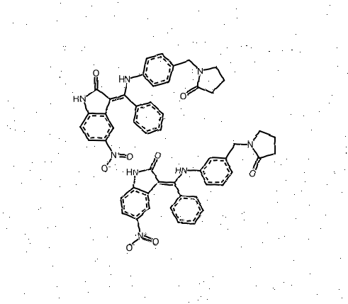 O=C1Nc2ccc([N+](=O)[O-])cc2/C1=C(/Nc1ccc(CN2CCCC2=O)cc1)c1ccccc1.O=C1Nc2ccc([N+](=O)[O-])cc2/C1=C(/Nc1cccc(CN2CCCC2=O)c1)c1ccccc1